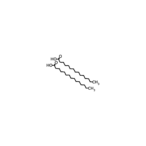 CCCCCCCCCCCCCCC(=O)O.CCCCCCCCCCCCCCC(=O)O